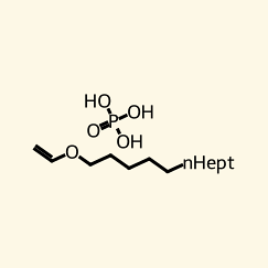 C=COCCCCCCCCCCCC.O=P(O)(O)O